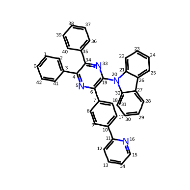 c1ccc(-c2nc(-c3ccc(-c4ccccn4)cc3)c(-n3c4ccccc4c4ccccc43)nc2-c2ccccc2)cc1